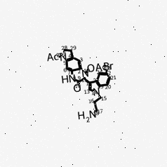 CC(=O)ON1c2cc3c(cc2NC(=O)C1c1cn(CCCN)c2ccc(Br)cc12)N(C(C)=O)CC3